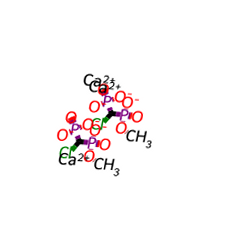 COP(=O)([O-])C(Cl)P(=O)([O-])[O-].COP(=O)([O-])C(Cl)P(=O)([O-])[O-].[Ca+2].[Ca+2].[Ca+2]